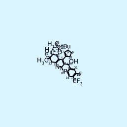 CC(C)c1nc2c(c(C3=CCCC3)c1[C@H](O)c1ccc(C(F)(F)F)c(F)c1)[C@@H](O[Si](C)(C)C(C)(C)C)CC(C)(C)C2